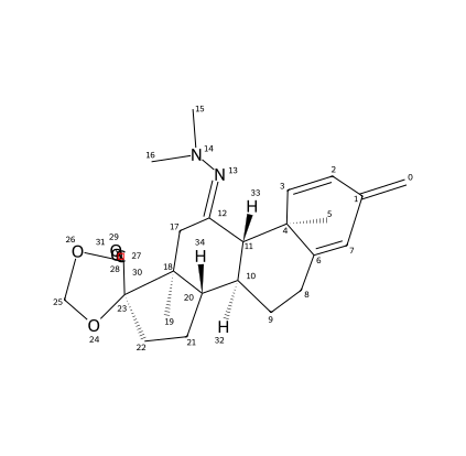 C=C1C=C[C@@]2(C)C(=C1)CC[C@@H]1[C@@H]2/C(=N/N(C)C)C[C@@]2(C)[C@H]1CC[C@@]21OCOC12COCO2